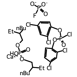 CCCCC(CC)COP(=O)(O)OCC(CC)CCCC.O=P(Cl)(Oc1ccc(Cl)cc1Cl)Oc1ccc(Cl)cc1Cl.O=P([O-])([O-])F.[Ca+2]